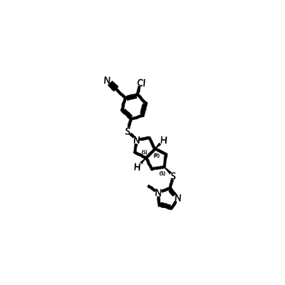 Cn1ccnc1S[C@H]1C[C@@H]2CN(Sc3ccc(Cl)c(C#N)c3)C[C@@H]2C1